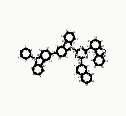 c1ccc(-n2c3ccccc3c3cc(-c4ccc5c(c4)c4ccccc4n5-c4nc(-c5ccc6ccccc6c5)nc(-c5cccc6oc7ccccc7c56)n4)ccc32)cc1